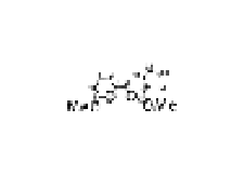 COC1CCCC(COC(OC)C2CCCC2)O1